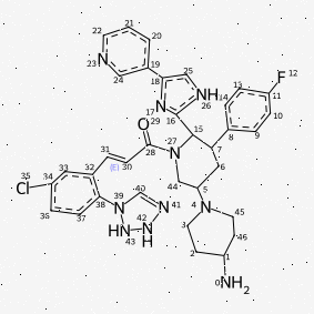 NC1CCN(C2CC(c3ccc(F)cc3)C(c3nc(-c4cccnc4)c[nH]3)N(C(=O)/C=C/c3cc(Cl)ccc3N3C=NNN3)C2)CC1